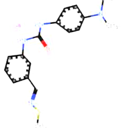 CSN=Cc1cccc(NC(=O)Nc2ccc(N(C)C)cc2)c1.I